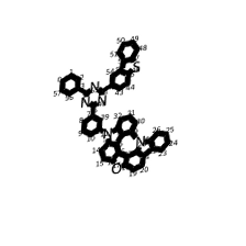 c1ccc(-c2nc(-c3cccc(-n4c5ccc6oc7ccc8c9ccccc9n9c%10cccc4c%10c5c6c7c89)c3)nc(-c3ccc4sc5ccccc5c4c3)n2)cc1